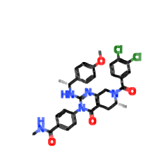 CNC(=O)c1ccc(-n2c(N[C@H](C)c3ccc(OC)cc3)nc3c(c2=O)C[C@@H](C)N(C(=O)c2ccc(Cl)c(Cl)c2)C3)cc1